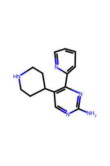 Nc1ncc(C2CCNCC2)c(-c2ccccn2)n1